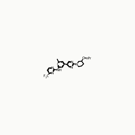 CCCOC1CCCN(c2ncc(-c3cc(C)cc(Nc4nccc(C(F)(F)F)n4)c3)cn2)C1